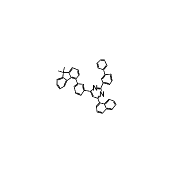 CC1(C)c2ccccc2-c2c(-c3cccc(-c4cc(-c5cccc6ccccc56)nc(-c5cccc(-c6ccccc6)c5)n4)c3)cccc21